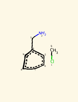 CCl.NCc1ccccc1